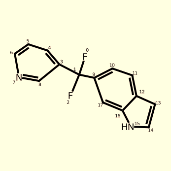 FC(F)(c1cccnc1)c1ccc2[c]c[nH]c2c1